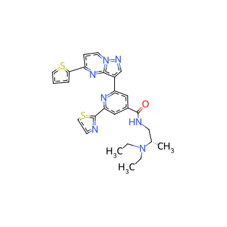 CCN(CC)[C@@H](C)CNC(=O)c1cc(-c2nccs2)nc(-c2cnn3ccc(-c4cccs4)nc23)c1